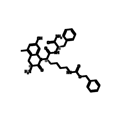 Cc1cc(O)cc2c1C[C@H](N)C(=O)N2[C@@H](CCCCNC(=O)OCc1ccccc1)C(=O)N[C@@H](Cc1ccccc1)C(N)=O